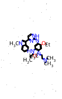 C=CC(=O)Nc1cc(Nc2nccc(-c3cn(C)c4ccccc34)n2)c(OCC)cc1N(C)CCN(C)C